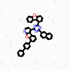 c1ccc(-c2ccc(-c3cccc4c3oc3nccc(-c5nc(-c6ccc7ccccc7c6)nc(-c6cccc7oc8ccccc8c67)n5)c34)cc2)cc1